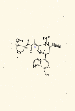 C=NN1C(NC)=CC(c2ccc(C(C)C)c3nccn23)=N/C1=C(/C)C(=O)N[C@H]1COC[C@H]1O